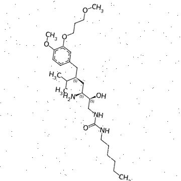 CCCCCCNC(=O)NC[C@H](O)[C@@H](N)C[C@H](Cc1ccc(OC)c(OCCCOC)c1)C(C)C